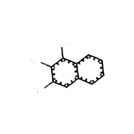 CCCCc1c(C#N)c(C#N)cc2ccccc12